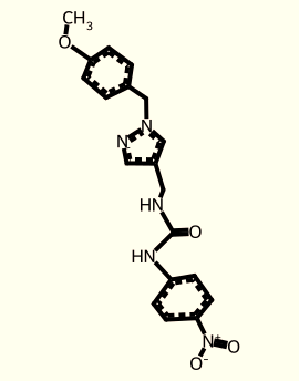 COc1ccc(Cn2cc(CNC(=O)Nc3ccc([N+](=O)[O-])cc3)cn2)cc1